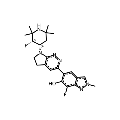 Cn1cc2cc(-c3cc4c(nn3)N([C@H]3CC(C)(C)NC(C)(C)[C@H]3F)CC4)c(O)c(F)c2n1